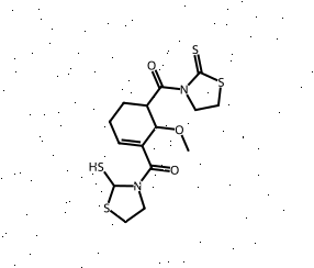 COC1C(C(=O)N2CCSC2S)=CCCC1C(=O)N1CCSC1=S